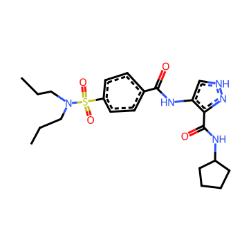 CCCN(CCC)S(=O)(=O)c1ccc(C(=O)Nc2c[nH]nc2C(=O)NC2CCCC2)cc1